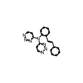 C(=C\c1ccccc1N(c1ccnnn1)c1ccnnn1)/c1ccccc1